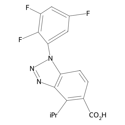 CC(C)c1c(C(=O)O)ccc2c1nnn2-c1cc(F)cc(F)c1F